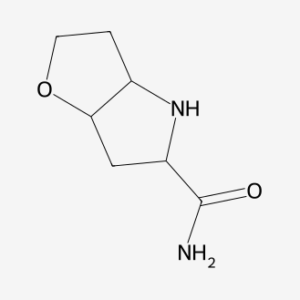 NC(=O)C1CC2OCCC2N1